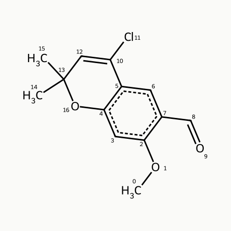 COc1cc2c(cc1C=O)C(Cl)=CC(C)(C)O2